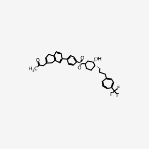 CC(=O)CC1=CCc2ccc(-c3ccc(S(=O)(=O)C4CC[C@@H](CCCC5=CC=C(C(F)(F)F)C=C=C5)[C@@H](O)C4)cc3)cc2C1